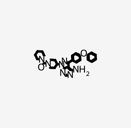 Nc1ncnc2c1c(-c1ccc(Oc3ccccc3)cc1)nn2C1CCN(C(=O)N2CCCCC2)CC1